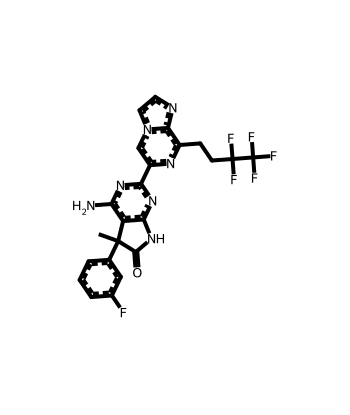 CC1(c2cccc(F)c2)C(=O)Nc2nc(-c3cn4ccnc4c(CCC(F)(F)C(F)(F)F)n3)nc(N)c21